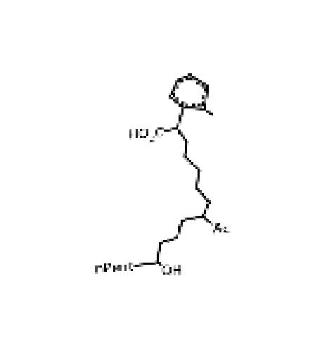 CCCCCC(O)CCCC(CCCCCC(C(=O)O)c1ccccc1C)C(C)=O